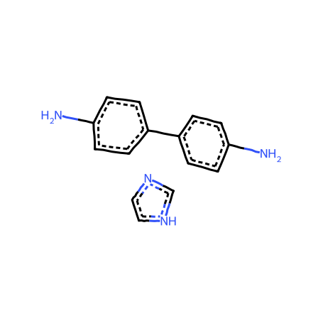 Nc1ccc(-c2ccc(N)cc2)cc1.c1c[nH]cn1